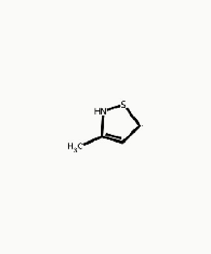 CC1=C[CH]SN1